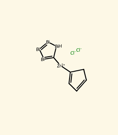 C1=CC[C]([Zr+2][C]2=[Bi][Bi]=[Bi][BiH]2)=C1.[Cl-].[Cl-]